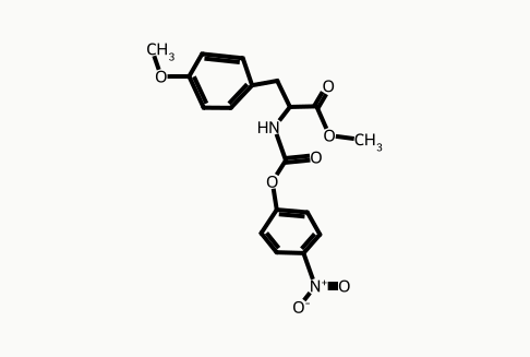 COC(=O)C(Cc1ccc(OC)cc1)NC(=O)Oc1ccc([N+](=O)[O-])cc1